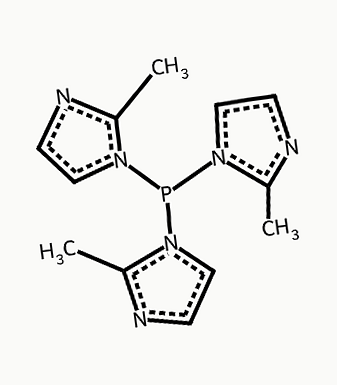 Cc1nccn1P(n1ccnc1C)n1ccnc1C